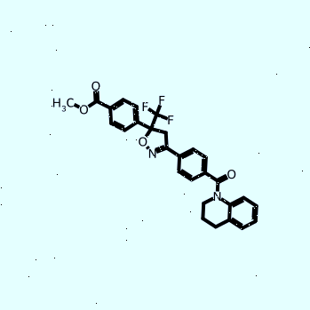 COC(=O)c1ccc(C2(C(F)(F)F)CC(c3ccc(C(=O)N4CCCc5ccccc54)cc3)=NO2)cc1